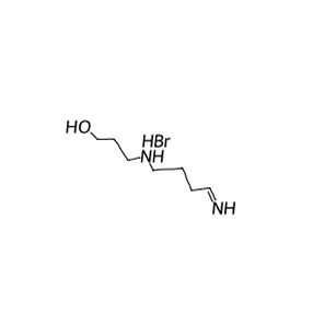 Br.N=CCCCNCCCO